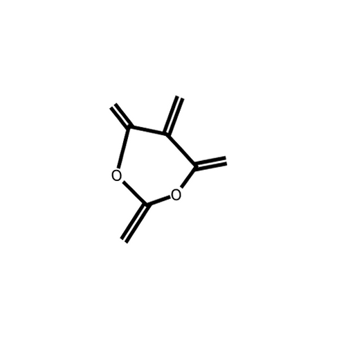 C=C1OC(=C)C(=C)C(=C)O1